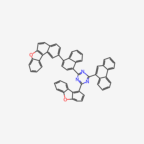 c1ccc2c(c1)cc(-c1nc(-c3ccc(-c4ccc5ccc6oc7ccccc7c6c5c4)c4ccccc34)nc(-c3cccc4oc5ccccc5c34)n1)c1ccccc12